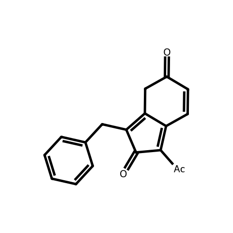 CC(=O)C1=C2C=CC(=O)CC2=C(Cc2ccccc2)C1=O